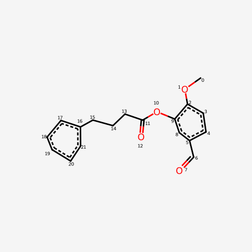 COc1ccc(C=O)cc1OC(=O)CCCc1ccccc1